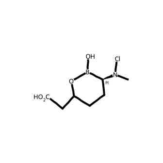 CN(Cl)[C@H]1CCC(CC(=O)O)OB1O